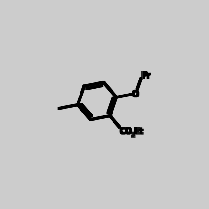 CCOC(=O)c1cc(C)ccc1OC(C)C